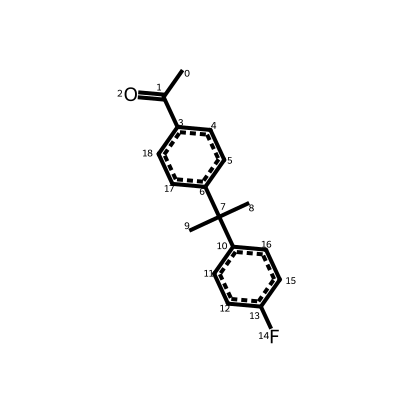 CC(=O)c1ccc(C(C)(C)c2ccc(F)cc2)cc1